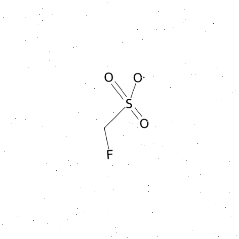 [O]S(=O)(=O)CF